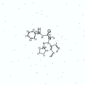 C=C/C=C(\C=C/C)C(CN1CCCC1)N(C)C(=O)CNc1ccccc1